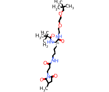 CC1CC(=O)N(CCC(=O)NCCCC[C@H](NC(=O)C(C)(C)C)C(=O)NCCOCCOCC(C)(C)C)C1=O